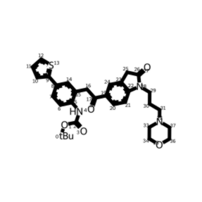 CC(C)(C)OC(=O)Nc1ccc(-c2cccs2)cc1CC(=O)c1ccc2c(c1)CC(=O)N2CCCN1CCOCC1